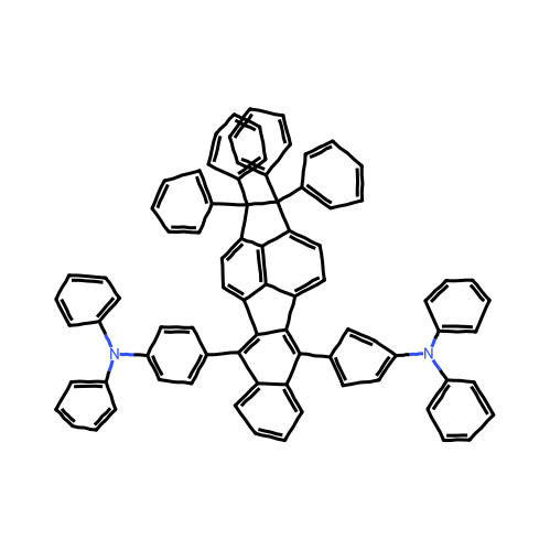 c1ccc(N(c2ccccc2)c2ccc(-c3c4c(c(-c5ccc(N(c6ccccc6)c6ccccc6)cc5)c5ccccc35)-c3ccc5c6c(ccc-4c36)C(c3ccccc3)(c3ccccc3)C5(c3ccccc3)c3ccccc3)cc2)cc1